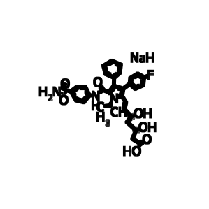 CC(C)n1c(C=C[C@@H](O)C[C@@H](O)CC(=O)O)c(-c2ccc(F)cc2)c(-c2ccccc2)c1C(=O)Nc1ccc(S(N)(=O)=O)cc1.[NaH]